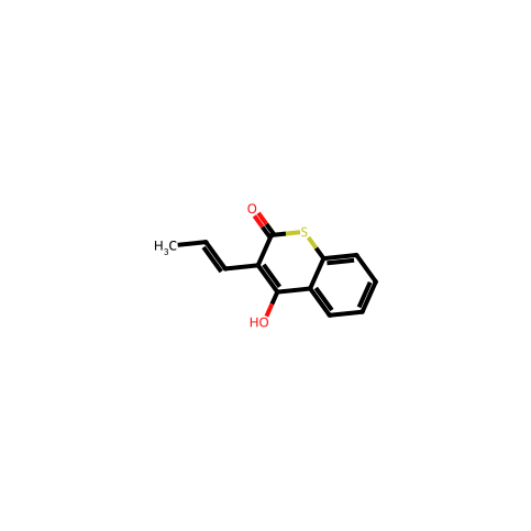 CC=Cc1c(O)c2ccccc2sc1=O